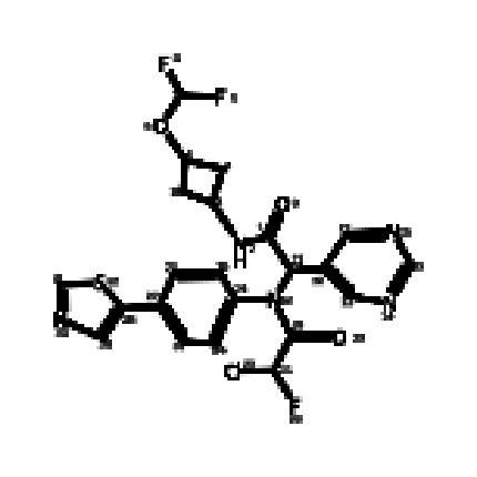 O=C(NC1CC(OC(F)F)C1)C(c1cncnc1)N(C(=O)C(F)Cl)c1ccc(-c2cncs2)cc1